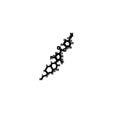 CCCC1CCC2CC(c3c(F)cc(C(=O)Oc4ccc(C#N)cc4)cc3F)CCC2C1